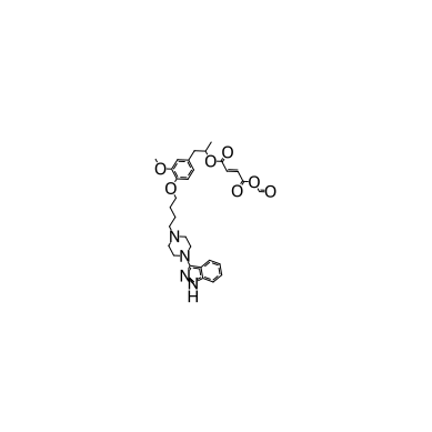 COc1cc(CC(C)OC(=O)/C=C/C(=O)OC=O)ccc1OCCCCN1CCN(c2n[nH]c3ccccc23)CC1